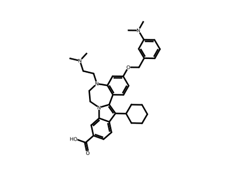 CN(C)CCN1CCn2c(c(C3CCCCC3)c3ccc(C(=O)O)cc32)-c2ccc(OCc3cccc(N(C)C)c3)cc21